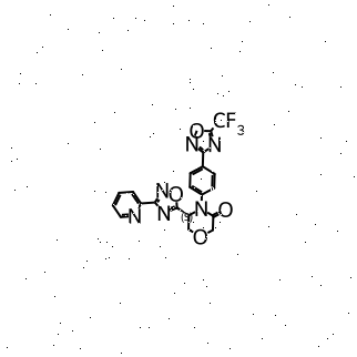 O=C1COC[C@@H](c2nc(-c3ccccn3)no2)N1c1ccc(-c2noc(C(F)(F)F)n2)cc1